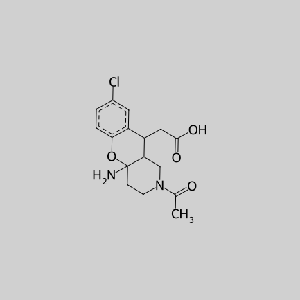 CC(=O)N1CCC2(N)Oc3ccc(Cl)cc3C(CC(=O)O)C2C1